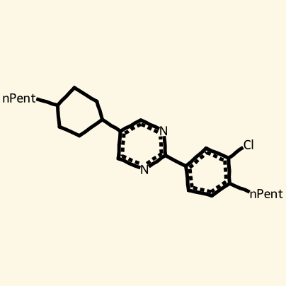 CCCCCc1ccc(-c2ncc(C3CCC(CCCCC)CC3)cn2)cc1Cl